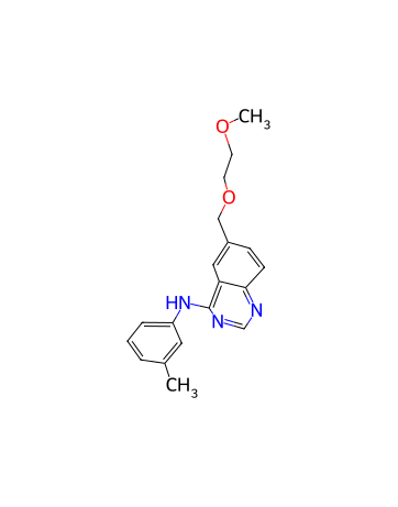 COCCOCc1ccc2ncnc(Nc3cccc(C)c3)c2c1